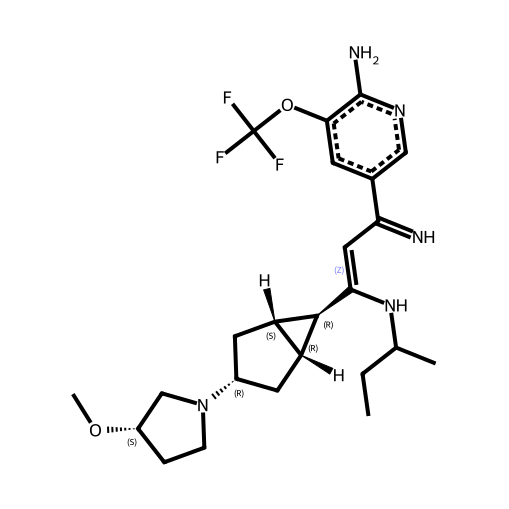 CCC(C)N/C(=C\C(=N)c1cnc(N)c(OC(F)(F)F)c1)[C@H]1[C@@H]2C[C@H](N3CC[C@H](OC)C3)C[C@@H]21